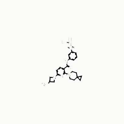 CC(C)(C)NS(=O)(=O)c1cccc(NC(=O)c2ccc(N3CC(C#N)C3)nc2N2CCC3(CC2)CC3)c1